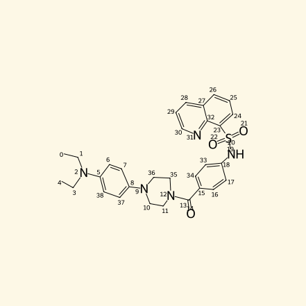 CCN(CC)c1ccc(N2CCN(C(=O)c3ccc(NS(=O)(=O)c4cccc5cccnc45)cc3)CC2)cc1